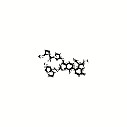 CC1CCN1C(=O)N1CCC(Oc2nc(OC[C@@]34CCCN3C[C@H](F)C4)nc3c(F)c(-c4ccc(F)c5sc(N)c(C#N)c45)c(Cl)cc23)C1